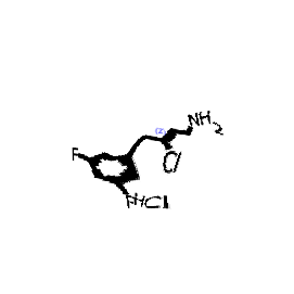 Cl.NC/C=C(\Cl)Cc1cc(F)cc(F)c1